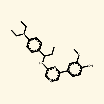 CCC(Nc1cncc(-c2ccc(O)c(OC)c2)n1)c1ccc(N(CC)CC)cc1